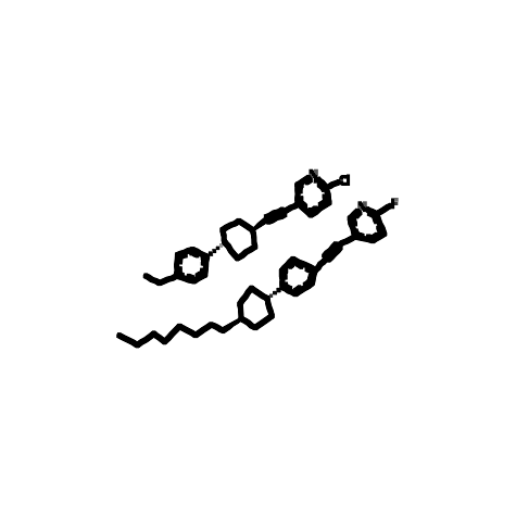 CCCCCCCC[C@H]1CC[C@H](c2ccc(C#Cc3ccc(F)nc3)cc2)CC1.CCc1ccc([C@H]2CC[C@H](C#Cc3ccc(Cl)nc3)CC2)cc1